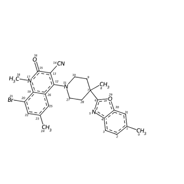 Cc1ccc2nc(C3(C)CCN(c4c(C#N)c(=O)n(C)c5c(Br)cc(C)cc45)CC3)oc2c1